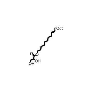 CCCCCCCC/C=C/CCCCCCCCOC(=O)C(O)CO